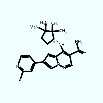 CNC1(C)CC[C@@H](Nc2c(C(N)=O)cnn3cc(-c4ccnc(F)c4)cc23)C1(C)C